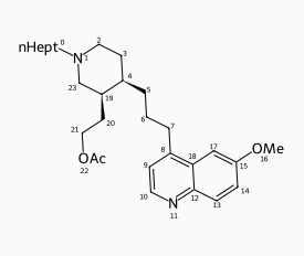 CCCCCCCN1CC[C@@H](CCCc2ccnc3ccc(OC)cc23)[C@@H](CCOC(C)=O)C1